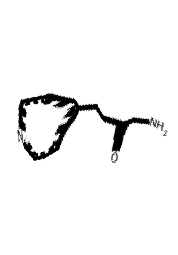 NC(=O)Cc1ccncc1